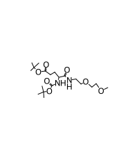 COCCOCCNC(=O)C(CCC(=O)OC(C)(C)C)NC(=O)OC(C)(C)C